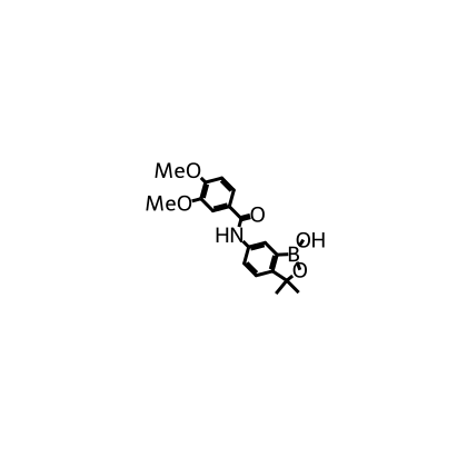 COc1ccc(C(=O)Nc2ccc3c(c2)B(O)OC3(C)C)cc1OC